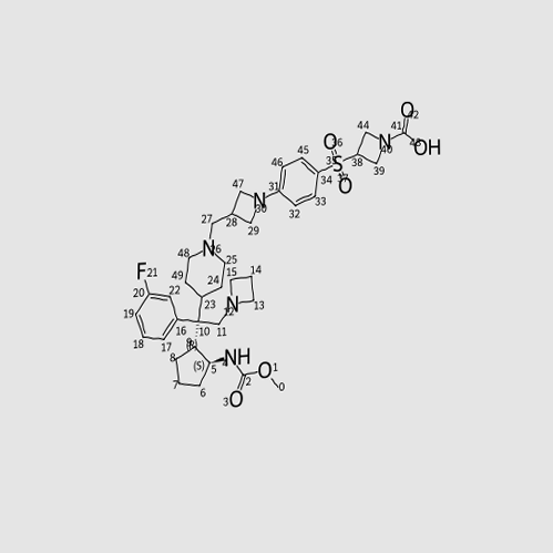 COC(=O)N[C@H]1CCC[C@@H]1C(CN1CCC1)(c1cccc(F)c1)C1CCN(CC2CN(c3ccc(S(=O)(=O)C4CN(C(=O)O)C4)cc3)C2)CC1